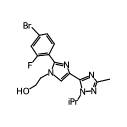 Cc1nc(-c2cn(CCO)c(-c3ccc(Br)cc3F)n2)n(C(C)C)n1